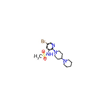 CS(=O)(=O)Nc1cc(Br)cnc1N1CCC(N2CCCCC2)CC1